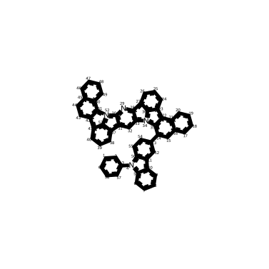 c1ccc(-n2c3ccccc3c3cc(-c4cc5ccccc5c5c6cccc7c8nc9c(cc8n(c45)c76)c4cccc5c6ccc7ccccc7c6n9c45)ccc32)cc1